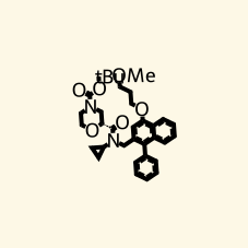 COCCCOc1cc(CN(C(=O)[C@H]2CN(C(=O)OC(C)(C)C)CCO2)C2CC2)c(-c2ccccc2)c2ccccc12